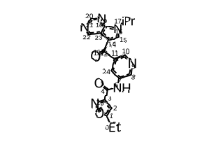 CCc1cc(C(=O)Nc2cncc(C(=O)c3cn(C(C)C)c4ncncc34)c2)no1